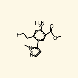 COC(=O)c1cc(-c2ccnn2C)c(CCF)cc1N